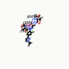 COC(=O)NC(C(=O)NC[C@@H](O)CN(NC(=O)[C@@H](NC(=O)OC)C(C)(C)C(F)(F)F)c1c(F)cc(-c2ccn(C3CC3)n2)cc1F)C(C)(C)C(F)(F)F